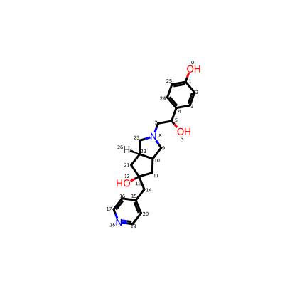 Oc1ccc(C(O)CN2CC3CC(O)(Cc4ccncc4)C[C@@H]3C2)cc1